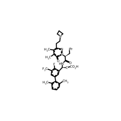 Cc1cccc(C)c1-c1cc([C@H](CC(=O)O)NC(=O)[C@H](CC(C)C)n2nc(CCN3CCC3)c(C)c(C)c2=O)c(F)c(C(F)(F)F)c1